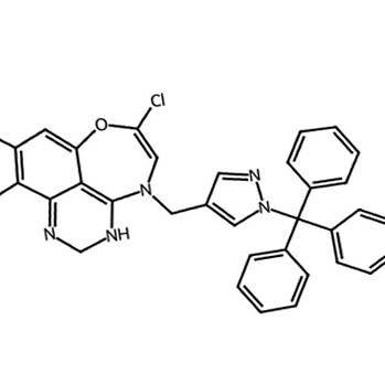 ClC1=CN(Cc2cnn(C(c3ccccc3)(c3ccccc3)c3ccccc3)c2)C2=c3c(cc(Br)c(Cl)c3=NCN2)O1